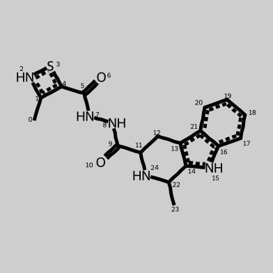 Cc1[nH]sc1C(=O)NNC(=O)C1Cc2c([nH]c3ccccc23)C(C)N1